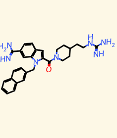 N=C(N)NCCC1CCN(C(=O)c2cc3ccc(C(=N)N)cc3n2Cc2ccc3ccccc3c2)CC1